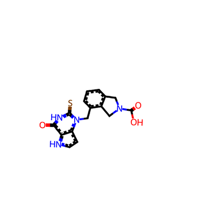 O=C(O)N1Cc2cccc(Cn3c(=S)[nH]c(=O)c4[nH]ccc43)c2C1